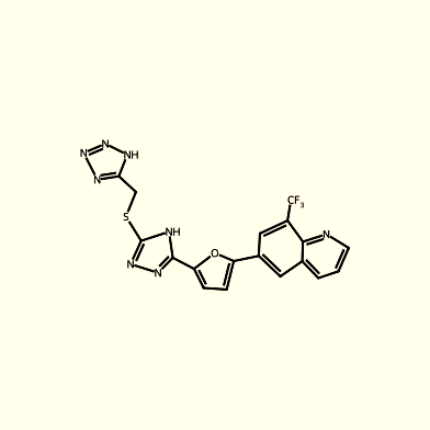 FC(F)(F)c1cc(-c2ccc(-c3nnc(SCc4nnn[nH]4)[nH]3)o2)cc2cccnc12